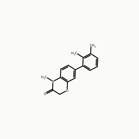 Cc1cccc(-c2ccc3c(c2)OCC(=O)N3C)c1C